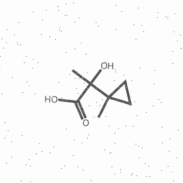 CC1(C(C)(O)C(=O)O)CC1